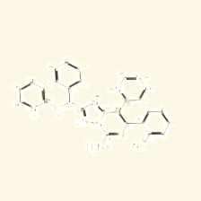 N#Cc1ccccc1-c1nc(N)n2nc(C(Oc3ccccn3)c3ccccc3)nc2c1-c1ccncn1